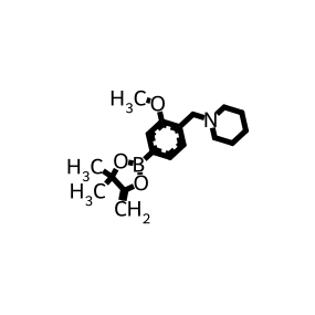 C=C1OB(c2ccc(CN3CCCCC3)c(OC)c2)OC1(C)C